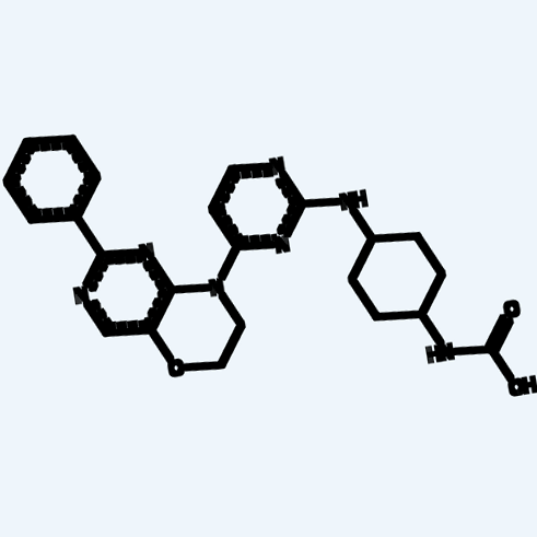 O=C(O)NC1CCC(Nc2nccc(N3CCOc4cnc(-c5ccccc5)nc43)n2)CC1